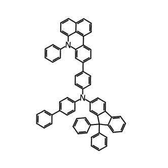 c1ccc(-c2ccc(N(c3ccc(-c4ccc5c(c4)N(c4ccccc4)c4cccc6cccc-5c46)cc3)c3ccc4c(c3)C(c3ccccc3)(c3ccccc3)c3ccccc3-4)cc2)cc1